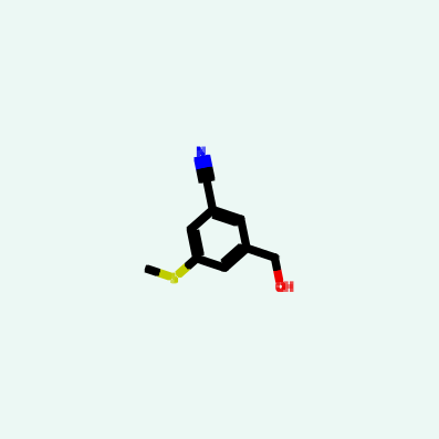 CSc1cc(C#N)cc([CH]O)c1